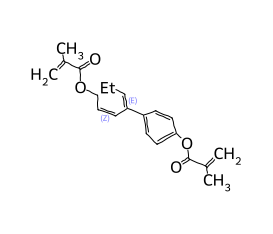 C=C(C)C(=O)OC/C=C\C(=C/CC)c1ccc(OC(=O)C(=C)C)cc1